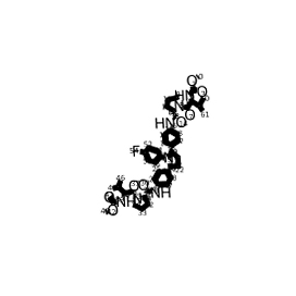 COC(=O)N[C@H](C(=O)N1CCC[C@H]1C(=O)Nc1ccc([C@H]2CC[C@H](c3ccc(NC(=O)[C@@H]4CCCN4C(=O)[C@@H](NC(=O)OC)C(C)C)cc3)N2c2ccc(F)cc2)cc1)C(C)C